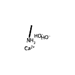 CN.[Ca+2].[OH-].[OH-]